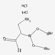 CCC(=O)C(CN)N(OC(C)(C)C)OC(C)(C)C.Cl.Cl